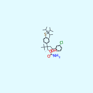 CC(C)[Si](Sc1ccc(C(C[C@@H](O)c2cccc(Cl)c2)([C@@H](C)OC(N)=O)C(C)(C)C)cc1)(C(C)C)C(C)C